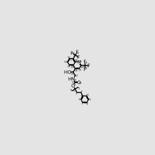 CC(C)(CCc1ccccc1)OC(=O)NCC(O)c1cc(C(F)(F)F)nc2c(C(F)(F)F)cccc12